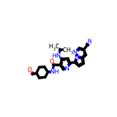 CC(C)Nc1cc(-c2ccc3cc(C#N)cnn23)ncc1C(=O)NC1CCC(C=O)CC1